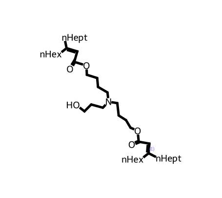 CCCCCCCC(=CC(=O)OCCCCN(CCCO)CCCCOC(=O)/C=C(\CCCCCC)CCCCCCC)CCCCCC